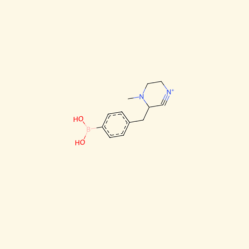 CN1CC[N+]#CC1Cc1ccc(B(O)O)cc1